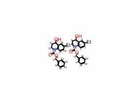 CCc1ccc2c(c1)C(O)CCN2C(=O)OCc1ccccc1.CCc1ccc2c(c1)C(O)CCN2C(=O)OCc1ccccc1